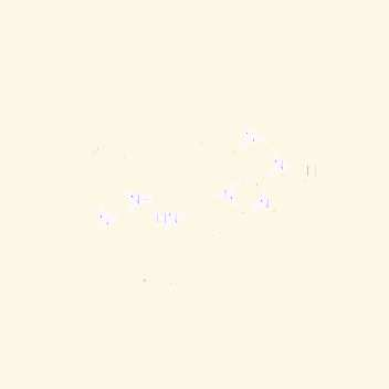 Cn1c(=O)c2c(ncn2CC(=O)Nc2ccccc2-c2nc3ccccc3[nH]2)n(C)c1=O